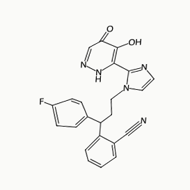 N#Cc1ccccc1C(CCn1ccnc1-c1[nH]ncc(=O)c1O)c1ccc(F)cc1